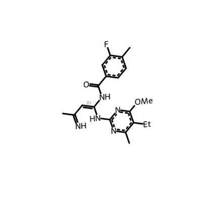 CCc1c(C)nc(N/C(=C\C(C)=N)NC(=O)c2ccc(C)c(F)c2)nc1OC